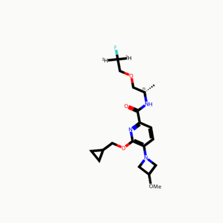 [2H]C([2H])(F)COC[C@H](C)NC(=O)c1ccc(N2CC(OC)C2)c(OCC2CC2)n1